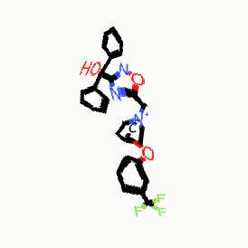 OC(c1ccccc1)(c1ccccc1)c1noc(C[N+]23CCC(CC2)C(Oc2cccc(C(F)(F)F)c2)C3)n1